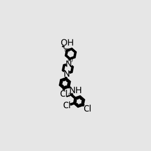 C[C@@H](Nc1cc(N2CCN([C@@H]3CCC[C@@H](CO)C3)CC2)ccc1Cl)c1ccc(Cl)cc1Cl